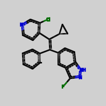 Fc1n[nH]c2ccc(/C(=C(/c3ccncc3Cl)C3CC3)c3[c]cccc3)cc12